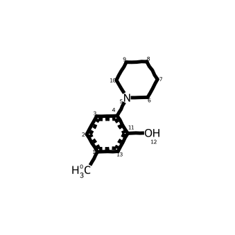 Cc1ccc(N2CCCCC2)c(O)c1